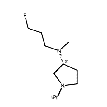 CC(C)N1CC[C@@H](N(C)CCCF)C1